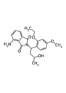 CCOc1cc(OC)ccc1C(CC(C)O)N1C(=O)c2cccc(N)c2C1=O